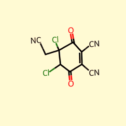 N#CCC1(Cl)C(=O)C(C#N)=C(C#N)C(=O)C1Cl